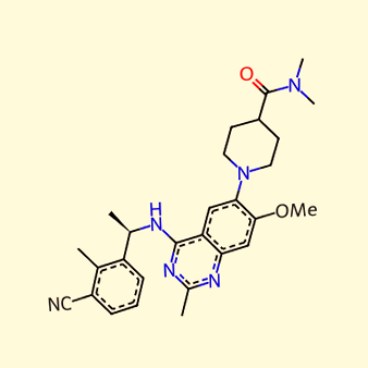 COc1cc2nc(C)nc(N[C@H](C)c3cccc(C#N)c3C)c2cc1N1CCC(C(=O)N(C)C)CC1